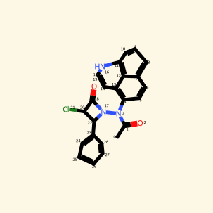 CC(=O)N(c1ccc2cccc3c2c1C=CN3)N1C(=O)C(Cl)C1c1ccccc1